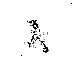 Cc1cc(=O)oc2cc(NC(=O)[C@H](CCCNC(=N)N)NC(=O)CNC(=O)OCc3ccccc3)ccc12.Cl